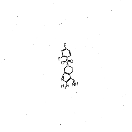 N=Cc1c(N)ncc2c1CCN(S(=O)(=O)c1ccc(F)cc1F)C2